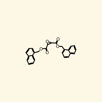 O=C(OCc1cccc2ccccc12)C1OC1C(=O)OCc1cccc2ccccc12